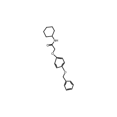 O=C(COc1ccc(OCc2ccccc2)cc1)NC1CCCCC1